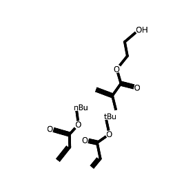 C=C(C)C(=O)OCCO.C=CC(=O)OC(C)(C)C.C=CC(=O)OCCCC